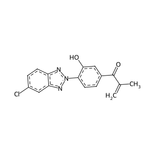 C=C(C)C(=O)c1ccc(-n2nc3ccc(Cl)cc3n2)c(O)c1